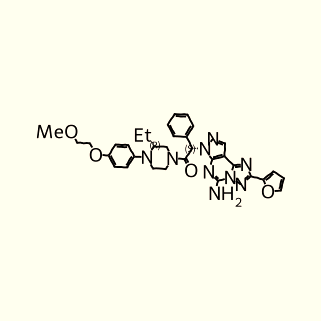 CC[C@@H]1CN(C(=O)[C@H](c2ccccc2)n2ncc3c2nc(N)n2nc(-c4ccco4)nc32)CCN1c1ccc(OCCOC)cc1